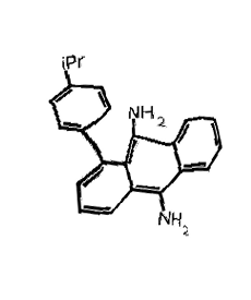 CC(C)c1ccc(-c2cccc3c(N)c4ccccc4c(N)c23)cc1